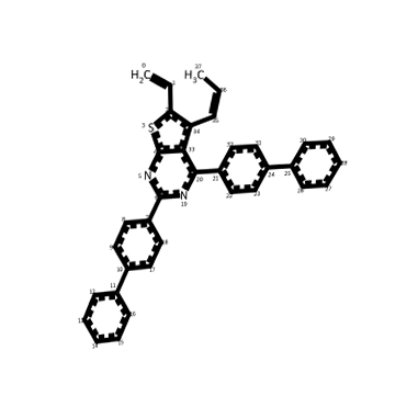 C=Cc1sc2nc(-c3ccc(-c4ccccc4)cc3)nc(-c3ccc(-c4ccccc4)cc3)c2c1/C=C\C